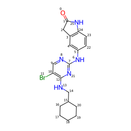 O=C1Cc2cc(Nc3ncc(Br)c(NCC4CCCCC4)n3)ccc2N1